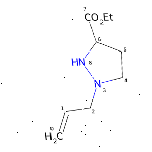 C=CCN1CCC(C(=O)OCC)N1